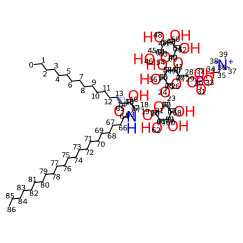 CCCCCCCCCCCCC/C=C/[C@@H](O)[C@H](CO[C@@H]1O[C@H](CO[C@@H]2O[C@H](COP(=O)(O)OCC[N+](C)(C)C)[C@H](O[C@H]3O[C@H](CO)[C@@H](O)[C@H](O)[C@@H]3O)[C@H](O)[C@H]2O)[C@H](O)[C@H](O)[C@H]1O)NC(=O)CCCCCCCCCCCCCCCCCCCCC